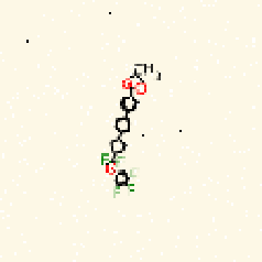 CC1COC(c2ccc(-c3ccc(C4CCC(C(F)(F)Oc5cc(F)c(F)c(F)c5)CC4)cc3)cc2)OC1